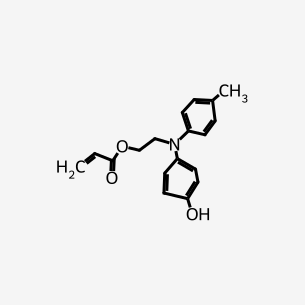 C=CC(=O)OCCN(c1ccc(C)cc1)c1ccc(O)cc1